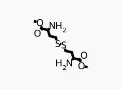 COC(=O)C(N)CCSSCCC(N)C(=O)OC